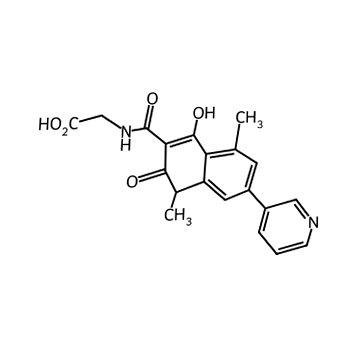 Cc1cc(-c2cccnc2)cc2c1C(O)=C(C(=O)NCC(=O)O)C(=O)C2C